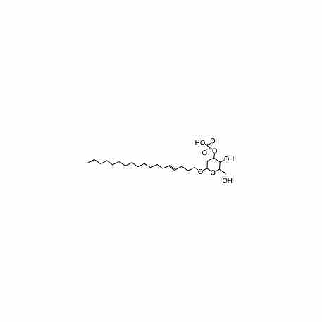 CCCCCCCCCCCCC/C=C/CCCOC1CC(OS(=O)(=O)O)C(O)C(CO)O1